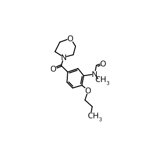 CCCOc1ccc(C(=O)N2CCOCC2)cc1N(C)C=O